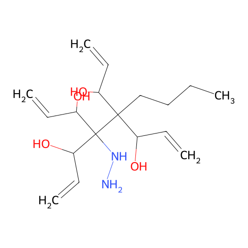 C=CC(O)C(CCCC)(C(O)C=C)C(NN)(C(O)C=C)C(O)C=C